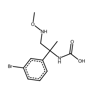 CONCC(C)(NC(=O)O)c1cccc(Br)c1